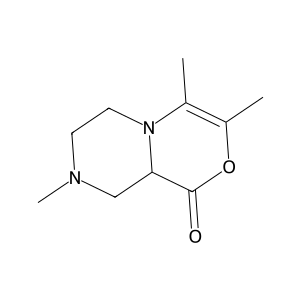 CC1=C(C)N2CCN(C)CC2C(=O)O1